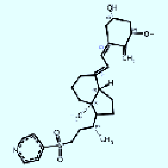 C=C1/C(=C\C=C2/CCC[C@]3(C)C([C@H](C)CCS(=O)(=O)c4ccncc4)CC[C@@H]23)C[C@H](O)C[C@H]1O